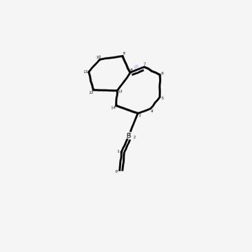 C=C=BC1CCC/C=C2/CCCCC2C1